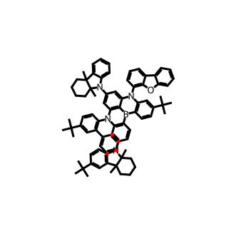 CC(C)(C)c1ccc(N2c3cc(N4c5ccc(C(C)(C)C)cc5C5(C)CCCCC45C)ccc3B3c4ccc(C(C)(C)C)cc4N(c4cccc5c4oc4ccccc45)c4cc(N5c6ccccc6C6(C)CCCCC56C)cc2c43)c(-c2ccccc2)c1